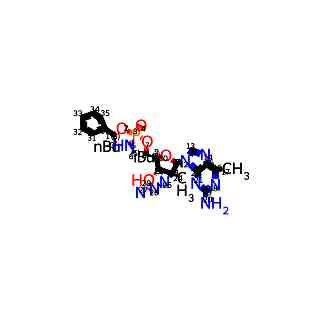 CCCC[C@H](OP(=O)(N[C@@H](C)CC)OC[C@H]1O[C@@H](n2cnc3c(C)nc(N)nc32)[C@](C)(N=[N+]=[N-])[C@@H]1O)c1ccccc1